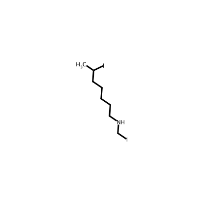 CC(I)CCCCCNCI